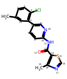 Cc1ccc(Cl)c(-c2ccc(NC(=O)c3scnc3C)nc2)c1